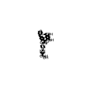 CC(C)c1cc(-c2onc(C(=O)N3CCN(c4ncc(C(=O)NO)cn4)CC3)c2-c2ccc(CN3CCOCC3)cc2)c(O)cc1O